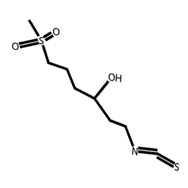 CS(=O)(=O)CCCC(O)CCN=C=S